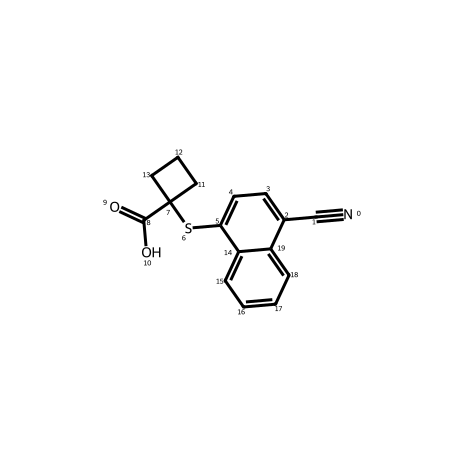 N#Cc1ccc(SC2(C(=O)O)CCC2)c2ccccc12